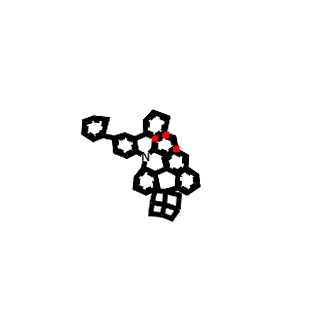 c1ccc(-c2ccc(N(c3ccccc3)c3ccccc3-c3cccc4cccc(C56CC7CC8CC(C5)C876)c34)c(-c3ccccc3)c2)cc1